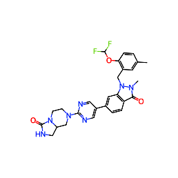 Cc1ccc(OC(F)F)c(Cn2c3cc(-c4cnc(N5CCN6C(=O)NCC6C5)nc4)ccc3c(=O)n2C)c1